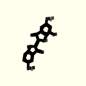 O=C1/C(=C2\Nc3c(S)cc(S(=O)(=O)O)cc3C2=O)Nc2ccc(S(=O)(=O)O)cc21